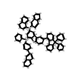 c1ccc(N(c2ccc(-c3ccc4ccccc4c3)cc2)c2cc(N(c3ccc4ccccc4c3)c3cccc4ccccc34)cc3c2sc2ccc(-c4cccc5c4-c4ccccc4C5(c4ccccc4)c4ccccc4)cc23)cc1